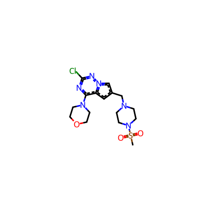 CS(=O)(=O)N1CCN(Cc2cc3c(N4CCOCC4)nc(Cl)nn3c2)CC1